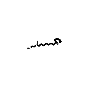 CC(=O)CCNCCCCCCCc1ccccn1